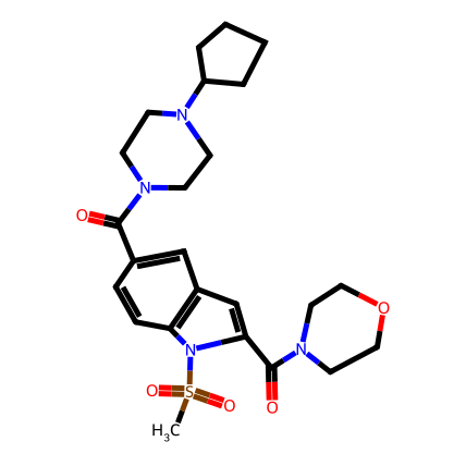 CS(=O)(=O)n1c(C(=O)N2CCOCC2)cc2cc(C(=O)N3CCN(C4CCCC4)CC3)ccc21